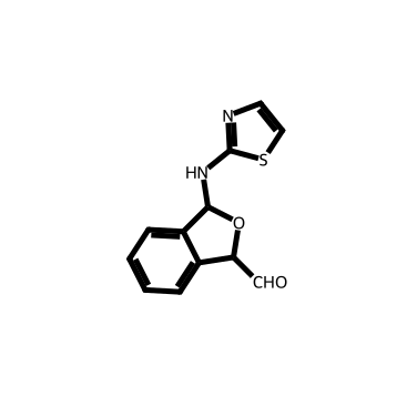 O=CC1OC(Nc2nccs2)c2ccccc21